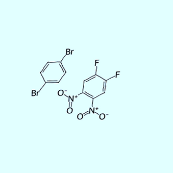 Brc1ccc(Br)cc1.O=[N+]([O-])c1cc(F)c(F)cc1[N+](=O)[O-]